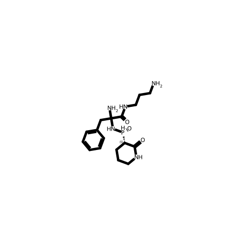 NCCCNC(=O)C(N)(Cc1ccccc1)N[PH](=O)[C@H]1CCCNC1=O